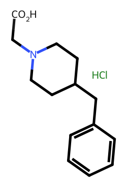 Cl.O=C(O)CN1CCC(Cc2ccccc2)CC1